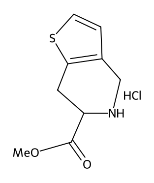 COC(=O)C1Cc2sccc2CN1.Cl